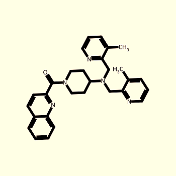 Cc1cccnc1CN(Cc1ncccc1C)C1CCN(C(=O)c2ccc3ccccc3n2)CC1